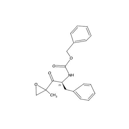 CC1(C(=O)[C@H](Cc2ccccc2)NC(=O)OCc2ccccc2)CO1